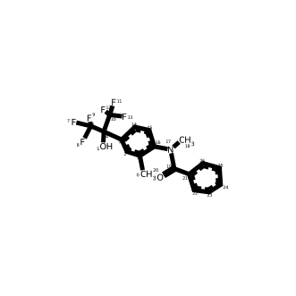 Cc1cc(C(O)(C(F)(F)F)C(F)(F)F)ccc1N(C)C(=O)c1ccccc1